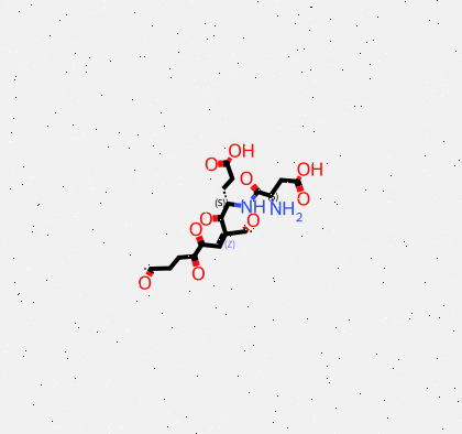 N[C@@H](CC(=O)O)C(=O)N[C@@H](CCC(=O)O)C(=O)/C([C]=O)=C\C(=O)C(=O)CC[C]=O